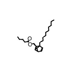 CCCCCCCCCCC12C=CC(C=C1COC(=O)CCCC)C2